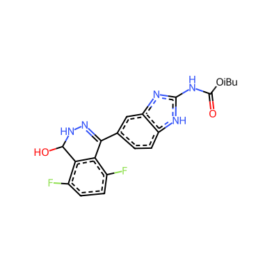 CC(C)COC(=O)Nc1nc2cc(C3=NNC(O)c4c(F)ccc(F)c43)ccc2[nH]1